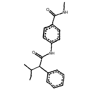 CNC(=O)c1ccc(NC(=O)C(c2ccccc2)C(C)C)cc1